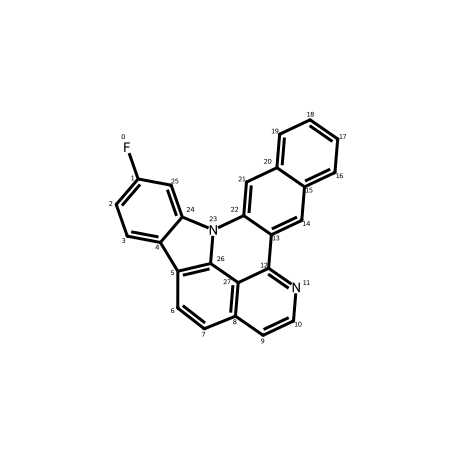 Fc1ccc2c3ccc4ccnc5c6cc7ccccc7cc6n(c2c1)c3c45